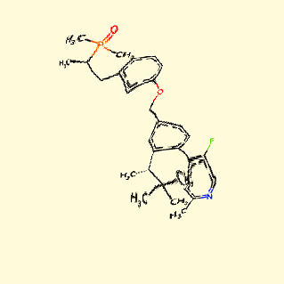 Cc1cc(-c2ccc(COc3cccc(C[C@@H](C)P(C)(C)=O)c3)cc2[C@@H](C)C(C)(C)C)c(F)cn1